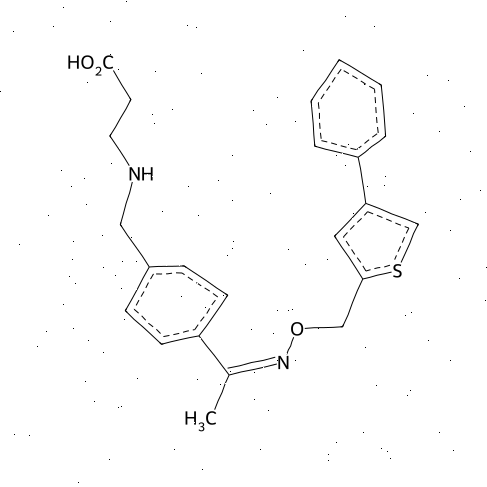 CC(=NOCc1cc(-c2ccccc2)cs1)c1ccc(CNCCC(=O)O)cc1